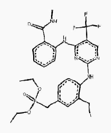 CCOP(=O)(Cc1ccc(Nc2ncc(C(F)(F)F)c(Nc3ccccc3C(=O)NC)n2)c(CI)c1)OCC